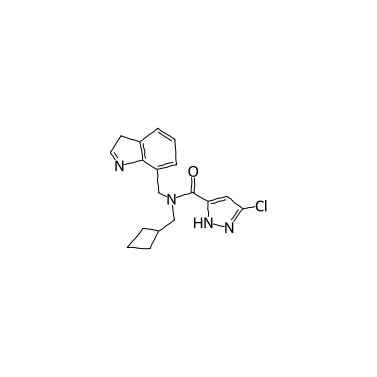 O=C(c1cc(Cl)n[nH]1)N(Cc1cccc2c1N=CC2)CC1CCC1